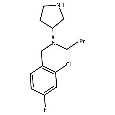 CC(C)CN(Cc1ccc(F)cc1Cl)[C@@H]1CCNC1